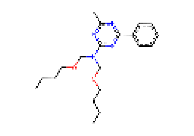 CCCCOCN(COCCCC)c1nc(C)nc(-c2ccccc2)n1